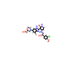 COc1ccc([C@H](O)CNc2cc[nH]c(=O)c2-c2nc3c(C)cc(N4CCO[C@@H](CO)C4)cc3[nH]2)cc1Cl